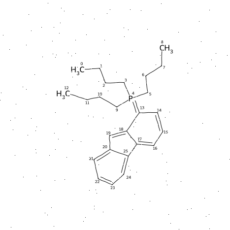 CCCCP(CCCC)(CCCC)=C1C=CC=C2C1=Cc1ccccc12